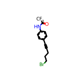 O=C(Nc1ccc(C#CCCCBr)cc1)C(F)(F)F